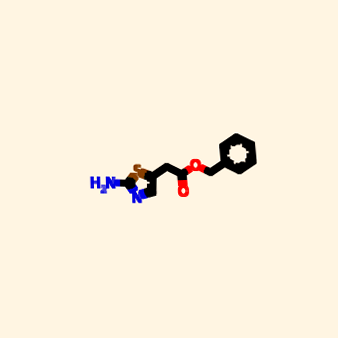 Nc1ncc(CC(=O)OCc2ccccc2)s1